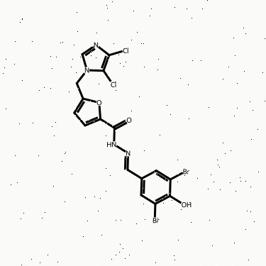 O=C(N/N=C/c1cc(Br)c(O)c(Br)c1)c1ccc(Cn2cnc(Cl)c2Cl)o1